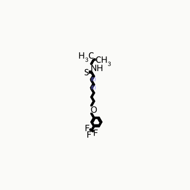 CC(C)CNC(=S)/C=C/C=C/CCCCOCc1cccc(C(F)(F)F)c1